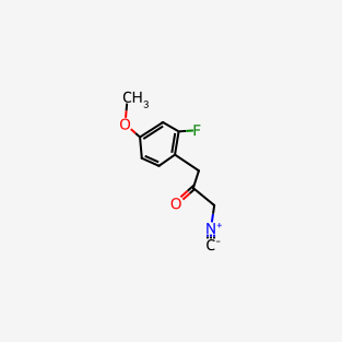 [C-]#[N+]CC(=O)Cc1ccc(OC)cc1F